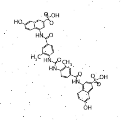 Cc1cc(C(=O)Nc2cc(S(=O)(=O)O)cc3cc(O)ccc23)ccc1NC(=O)Nc1ccc(C(=O)Nc2cc(S(=O)(=O)O)cc3cc(O)ccc23)cc1C